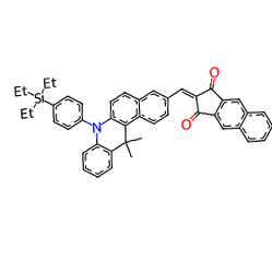 CC[Si](CC)(CC)c1ccc(N2c3ccccc3C(C)(C)c3c2ccc2cc(C=C4C(=O)c5cc6ccccc6cc5C4=O)ccc32)cc1